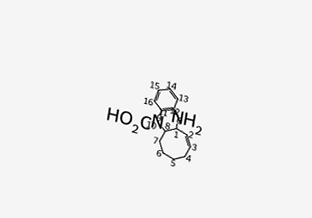 NC1C=CCCCCC1N(C(=O)O)c1ccccc1